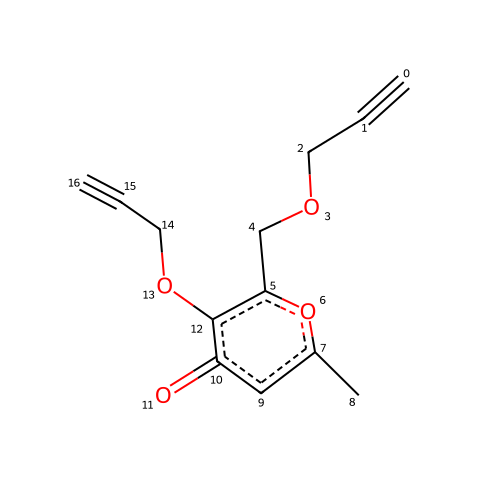 C#CCOCc1oc(C)cc(=O)c1OCC#C